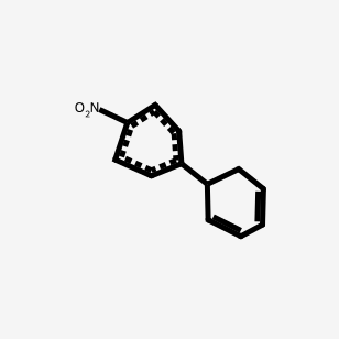 O=[N+]([O-])c1ccc(C2C=CC=CC2)cc1